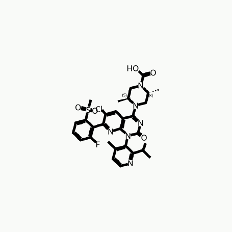 Cc1ccnc(C(C)C)c1-n1c(=O)nc(N2C[C@@H](C)N(C(=O)O)C[C@@H]2C)c2cc(Cl)c(-c3c(F)cccc3S(C)(=O)=O)nc21